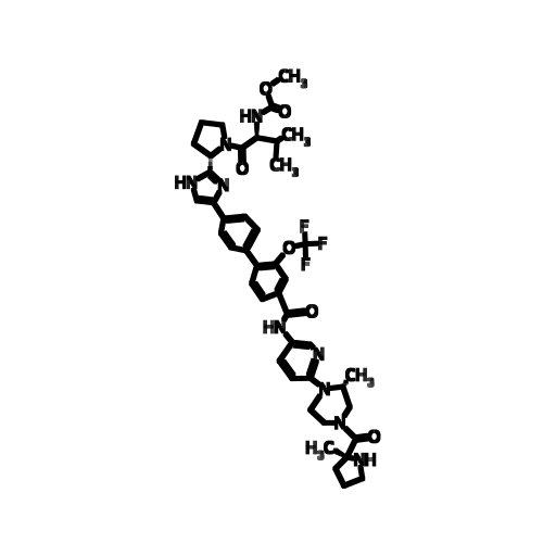 COC(=O)N[C@H](C(=O)N1CCC[C@H]1c1nc(-c2ccc(-c3ccc(C(=O)Nc4ccc(N5CCN(C(=O)[C@@]6(C)CCCN6)C[C@H]5C)nc4)cc3OC(F)(F)F)cc2)c[nH]1)C(C)C